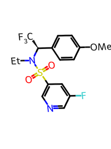 CCN([C@H](c1ccc(OC)cc1)C(F)(F)F)S(=O)(=O)c1cncc(F)c1